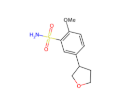 COc1ccc(C2CCOC2)cc1S(N)(=O)=O